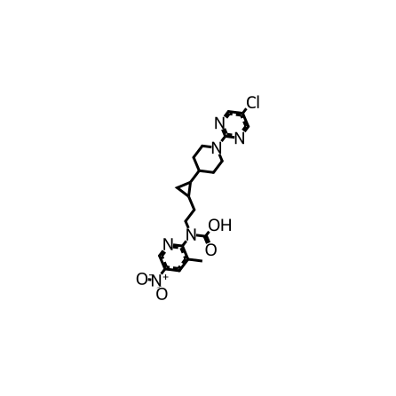 Cc1cc([N+](=O)[O-])cnc1N(CCC1CC1C1CCN(c2ncc(Cl)cn2)CC1)C(=O)O